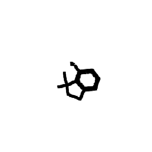 CC1(C)CCc2cccc(Br)c21